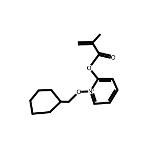 C=C(C)C(=O)Oc1cccc[n+]1OCC1CCCCC1